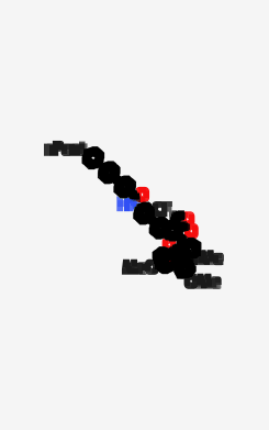 CCCCC[C@H]1CC[C@H](c2ccc(-c3ccc(C(=O)Nc4ccc(-c5ccc6c7c(c8c(=O)occc8c6c5)C=CC(c5ccc(OC)cc5)(C(c5ccccc5)(c5ccccc5)c5ccc(OC)cc5OC)O7)c(C(F)(F)F)c4)cc3)cc2)CC1